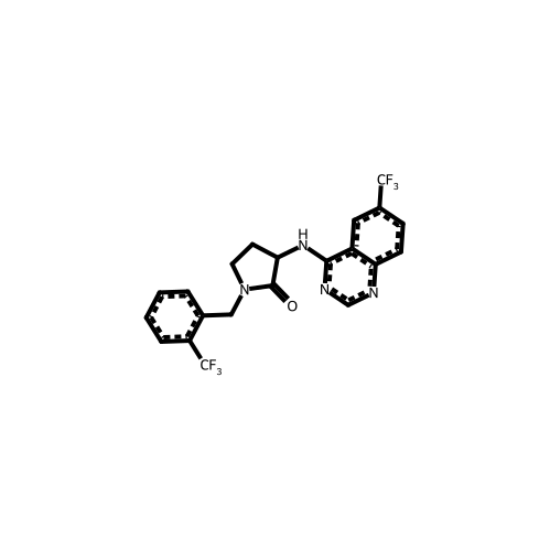 O=C1C(Nc2ncnc3ccc(C(F)(F)F)cc23)CCN1Cc1ccccc1C(F)(F)F